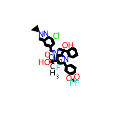 CC(C)(O)c1cc([C@@](O)(CNC(=O)c2cc(Cl)c3nn(C4CC4)cc3c2)c2ccccc2)nc(-c2ccc3c(c2)OC(F)(F)O3)c1F